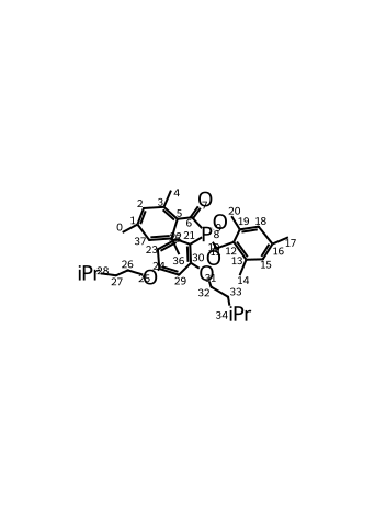 Cc1cc(C)c(C(=O)P(=O)(C(=O)c2c(C)cc(C)cc2C)c2ccc(OCCC(C)C)cc2OCCC(C)C)c(C)c1